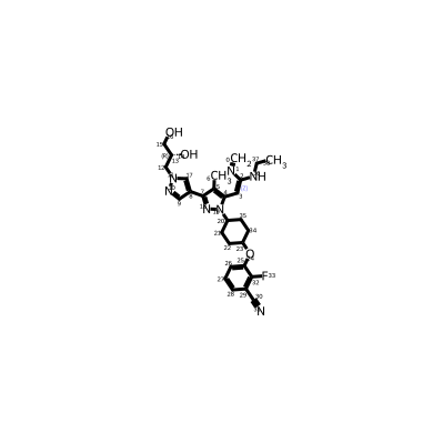 C=N/C(=C\c1c(C)c(-c2cnn(C[C@@H](O)CO)c2)nn1C1CCC(Oc2cccc(C#N)c2F)CC1)NCC